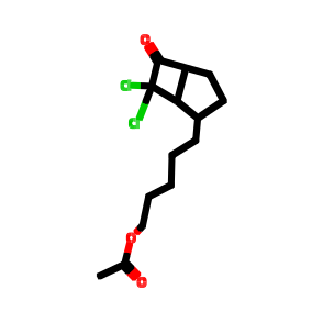 CC(=O)OCCCCCC1CCC2C(=O)C(Cl)(Cl)C12